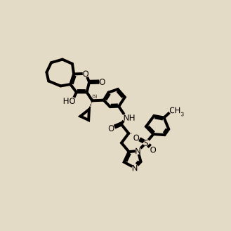 Cc1ccc(S(=O)(=O)n2cncc2C[CH]C(=O)Nc2cccc([C@@H](c3c(O)c4c(oc3=O)CCCCCC4)C3CC3)c2)cc1